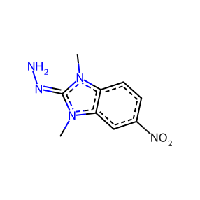 Cn1c(=NN)n(C)c2cc([N+](=O)[O-])ccc21